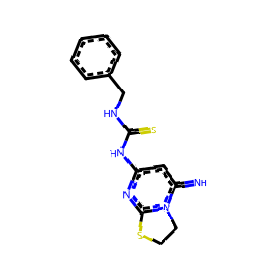 N=c1cc(NC(=S)NCc2ccccc2)nc2n1CCS2